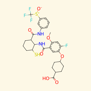 COc1cc(F)c(OC2CCC(C(=O)O)CC2)cc1C(=O)NC1C(S)CCCC1C(=O)Nc1cccc([S+]([O-])C(F)(F)F)c1